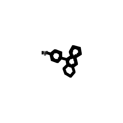 Cc1ccc(-c2c3c(cc4ccccc24)CCCC3)cc1